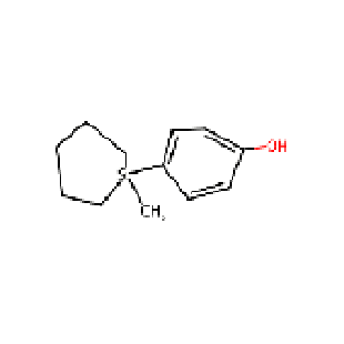 C[Si]1(c2ccc(O)cc2)CCCCC1